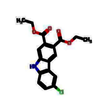 CCOC(=O)c1cc2[nH]c3ccc(Cl)cc3c2cc1C(=O)OCC